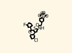 CS(=O)(=O)S(=O)(=O)c1ccc(CC(=O)Nc2cc(-c3cccc(Cl)c3)c(C(=O)c3cccc(F)c3)s2)cc1